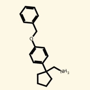 NCC1(c2ccc(OCc3ccccc3)cc2)CCCC1